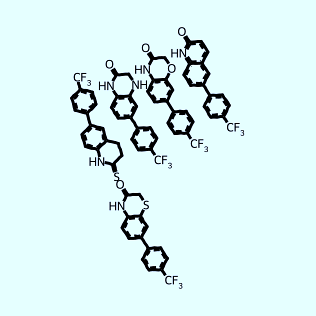 FC(F)(F)c1ccc(-c2ccc3c(c2)CCC(=S)N3)cc1.O=C1CNc2cc(-c3ccc(C(F)(F)F)cc3)ccc2N1.O=C1COc2cc(-c3ccc(C(F)(F)F)cc3)ccc2N1.O=C1CSc2cc(-c3ccc(C(F)(F)F)cc3)ccc2N1.O=c1ccc2cc(-c3ccc(C(F)(F)F)cc3)ccc2[nH]1